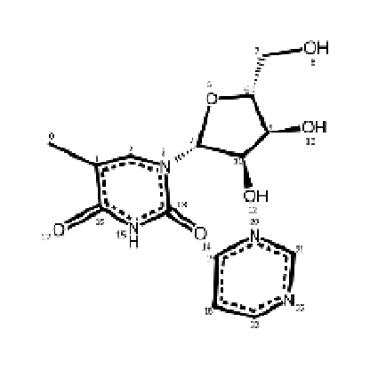 Cc1cn([C@@H]2O[C@H](CO)[C@@H](O)[C@H]2O)c(=O)[nH]c1=O.c1cncnc1